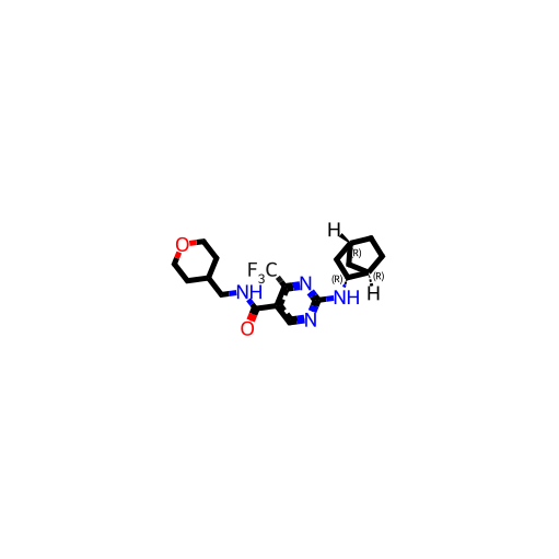 O=C(NCC1CCOCC1)c1cnc(N[C@@H]2C[C@@H]3CC[C@@H]2C3)nc1C(F)(F)F